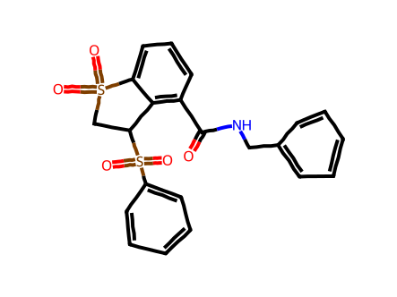 O=C(NCc1ccccc1)c1cccc2c1C(S(=O)(=O)c1ccccc1)CS2(=O)=O